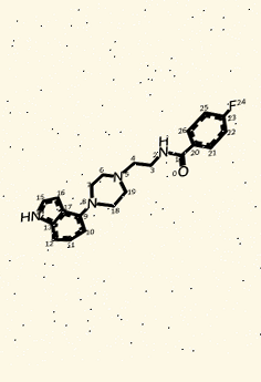 O=C(NCCN1CCN(c2cccc3[nH]ccc23)CC1)c1ccc(F)cc1